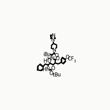 CCC(C)C(NC(=O)C(Cc1ccc(OC(F)(F)F)cc1)CC(O)C(Cc1ccccc1)NC(=O)OC(C)(C)C)C(=O)N1CCC(n2ccnc2)CC1